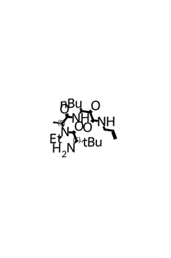 C=CCNC(=O)C(=O)C(CCCC)NC(=O)[C@H](C)N(CC)C(=O)[C@@H](N)C(C)(C)C